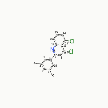 Cc1cc(C)cc(-c2cc(Cl)c3c(Cl)cccc3n2)c1